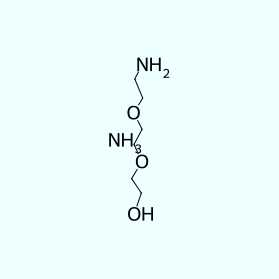 N.NCCOCCOCCO